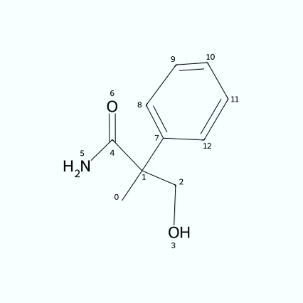 CC(CO)(C(N)=O)c1ccccc1